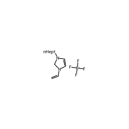 C=CN1C=CN(CCCCCCC)C1.F[B-](F)(F)F